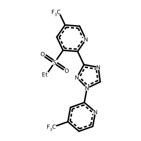 CCS(=O)(=O)c1cc(C(F)(F)F)cnc1-c1ncn(-c2cc(C(F)(F)F)ccn2)n1